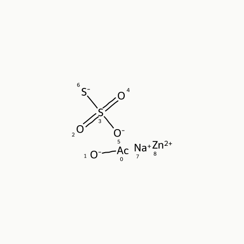 CC(=O)[O-].O=S(=O)([O-])[S-].[Na+].[Zn+2]